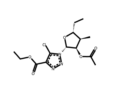 CCOC(=O)c1nnn([C@@H]2O[C@H](CC)[C@@H](C)[C@H]2OC(C)=O)c1Cl